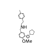 COc1ccc(CNCCc2ccc(C)cc2)cc1OC1CCCC1